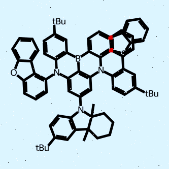 CC(C)(C)c1ccc2c(c1)B1c3ccc4c(sc5ccccc54)c3N(c3ccc(C(C)(C)C)cc3-c3ccccc3)c3cc(N4c5ccc(C(C)(C)C)cc5C5(C)CCCCC45C)cc(c31)N2c1cccc2oc3ccccc3c12